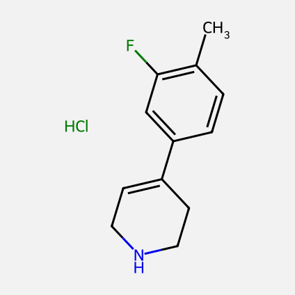 Cc1ccc(C2=CCNCC2)cc1F.Cl